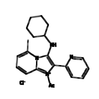 CC(=O)[n+]1c(-c2ccccn2)c(NC2CCCCC2)n2c(C)cccc21.[Cl-]